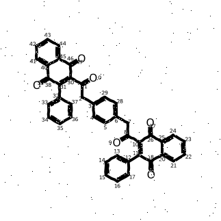 O=C(Cc1ccc(CC(=O)C2=C(c3ccccc3)C(=O)c3ccccc3C2=O)cc1)C1=C(c2ccccc2)C(=O)c2ccccc2C1=O